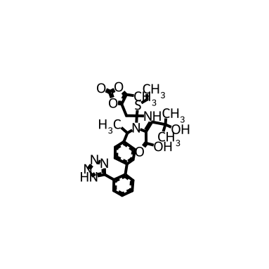 CCSC1(Cc2oc(=O)oc2C)NC(C(C)(C)O)=C(C(=O)O)N1C(C)c1ccc(-c2ccccc2-c2nnn[nH]2)cc1